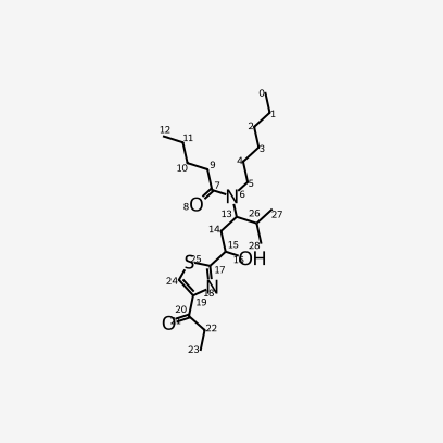 CCCCCCN(C(=O)CCCC)C(CC(O)c1nc(C(=O)CC)cs1)C(C)C